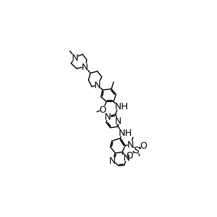 COc1cc(N2CCC(N3CCN(C)CC3)CC2)c(C)cc1Nc1nccc(Nc2ccc3nccnc3c2N(C)S(C)(=O)=O)n1